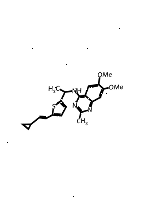 COc1cc2nc(C)nc(NC(C)c3ccc(/C=C/C4CC4)s3)c2cc1OC